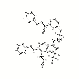 CC(C)(Cc1cccc(C(=O)OCc2ccccc2)c1)NC[C@@H](O[Si](C)(C)C(C)(C)C)c1ccc(OCc2ccccc2)c(NC=O)c1